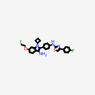 Nc1c(-c2ccc(Nc3nc(-c4ccc(F)cc4)cs3)cc2)n(C2CCC2)c2cc(OCCF)ccc12